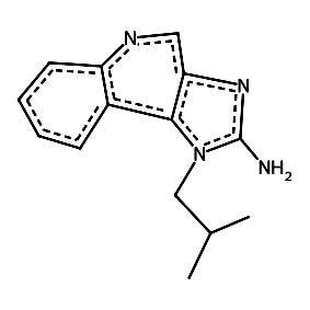 CC(C)Cn1c(N)nc2cnc3ccccc3c21